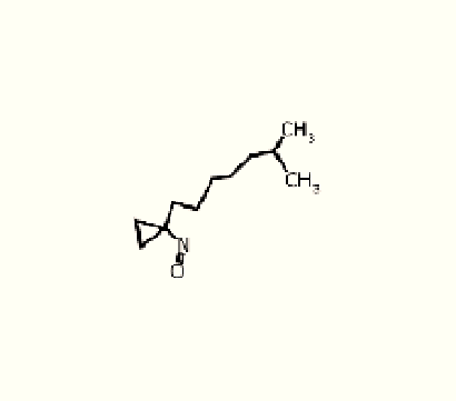 CC(C)CCCCCC1(N=O)CC1